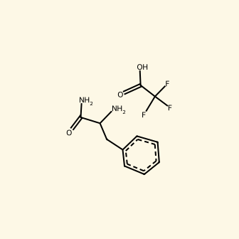 NC(=O)C(N)Cc1ccccc1.O=C(O)C(F)(F)F